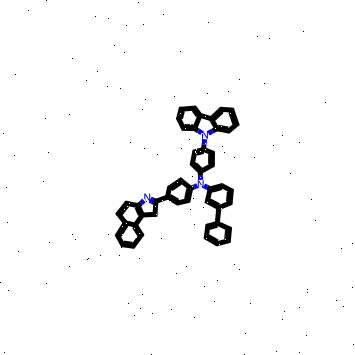 c1ccc(-c2cccc(N(c3ccc(C4=Nc5ccc6ccccc6c5C4)cc3)c3ccc(-n4c5ccccc5c5ccccc54)cc3)c2)cc1